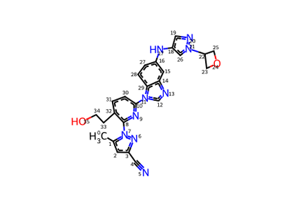 Cc1cc(C#N)nn1-c1nc(-n2cnc3cc(Nc4cnn(C5COC5)c4)ccc32)ccc1CCO